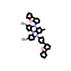 Cc1cc2c3c(c1)N(c1cccc4c1oc1ccccc14)c1cc(C(C)(C)C)ccc1B3c1cc(C(C)(C)C)ccc1N2c1ccc(-c2cccc3c2oc2ccccc23)cc1